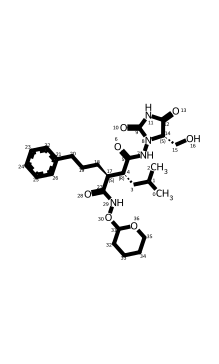 CC(C)C[C@@H](C(=O)NN1C(=O)NC(=O)[C@@H]1CO)[C@H](CCCc1ccccc1)C(=O)NOC1CCCCO1